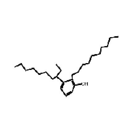 CCCCCCCCCCc1c(O)cccc1C(CC)CCCCCCC